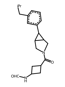 CC(C)Cc1cccc(C2C3CN(C(=O)C4CC(NC=O)C4)CC32)c1